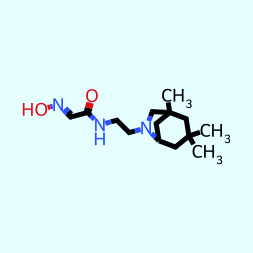 CC1(C)CC2CC(C)(CN2CCNC(=O)C=NO)C1